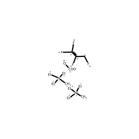 CC[N+](C)(CC)CC.CC[N+](C)(CC)CC.FCC(F)=C(F)F.O=C([O-])[O-]